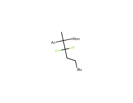 CCCCCCCCCC(C)(C(C)=O)C(F)(F)CCC(C)CC